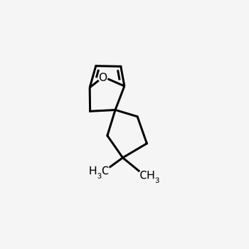 CC1(C)CCC2(Cc3ccc2o3)C1